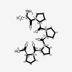 C[C@H](N)C(=O)N1CCC[C@H]1C(=O)N1CCC[C@H]1C(=O)N1CCC[C@H]1C(=O)N1CCC[C@H]1C(=O)O